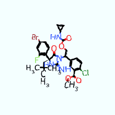 COC(=O)c1cc(C(COC(=O)NC2CC2)N2C(=N)N[C@](CC(C)(C)C)(c3ccc(Br)cc3F)C2=O)ccc1Cl